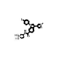 Cn1cc(-c2cn(-c3ccc(F)cc3)c3cc(C(=O)NC4CCS(O)(O)C4)ccc23)cn1